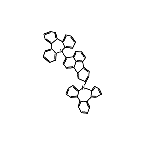 c1ccc2c(c1)-c1ccccc1N(c1ccc3c(c1)-c1ccc(N4c5ccccc5-c5ccccc5-c5ccccc54)c4cccc-3c14)c1ccccc1-2